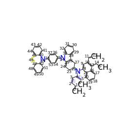 C=C/C=C\C(=C/C)N(c1cc(C=C)c(CC)c2ccccc12)C1CC=C2C(C1)c1ccccc1N2c1ccc(N2c3ccccc3SC3C=CC=CC32)cc1